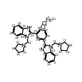 [Cl-].[Cl-].[Fe+2].c1cc(-c2nc3ccccc3n2CN2CCCC2)nc(-c2nc3ccccc3n2CN2CCCC2)c1